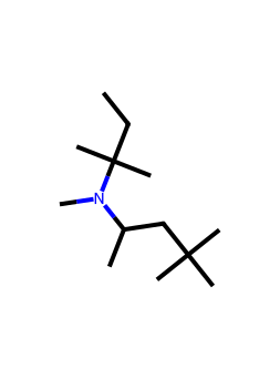 CCC(C)(C)N(C)C(C)CC(C)(C)C